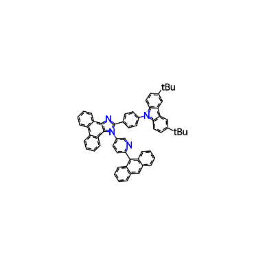 CC(C)(C)c1ccc2c(c1)c1cc(C(C)(C)C)ccc1n2-c1ccc(-c2nc3c4ccccc4c4ccccc4c3n2-c2ccc(-c3c4ccccc4cc4ccccc34)nc2)cc1